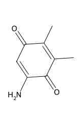 CC1=C(C)C(=O)C(N)=CC1=O